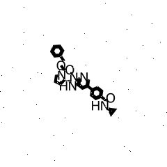 O=C(NC1CC1)c1ccc(-c2cnc3nc([C@@H]4CCCN4C(=O)OCc4ccccc4)[nH]c3c2)cc1